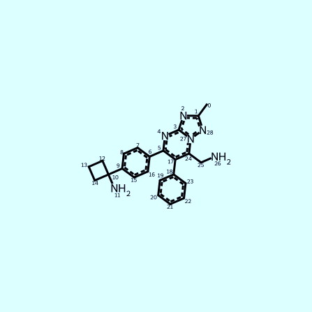 Cc1nc2nc(-c3ccc(C4(N)CCC4)cc3)c(-c3ccccc3)c(CN)n2n1